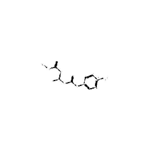 CC(CC(=O)OC(C)(C)C)NC(=O)Nc1ccc(C(C)(C)C)cc1